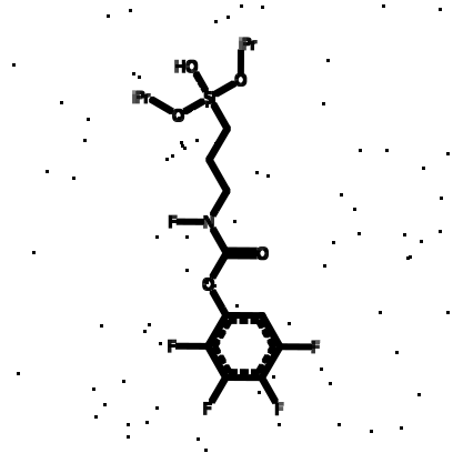 CC(C)O[Si](O)(CCCN(F)C(=O)Oc1cc(F)c(F)c(F)c1F)OC(C)C